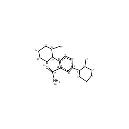 CC1CCCCC1c1ccc(C2CCCCC2C)c(C(N)=O)c1